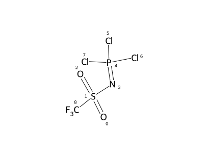 O=S(=O)(N=P(Cl)(Cl)Cl)C(F)(F)F